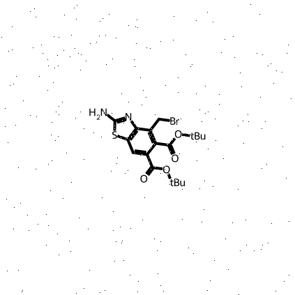 CC(C)(C)OC(=O)c1cc2sc(N)nc2c(CBr)c1C(=O)OC(C)(C)C